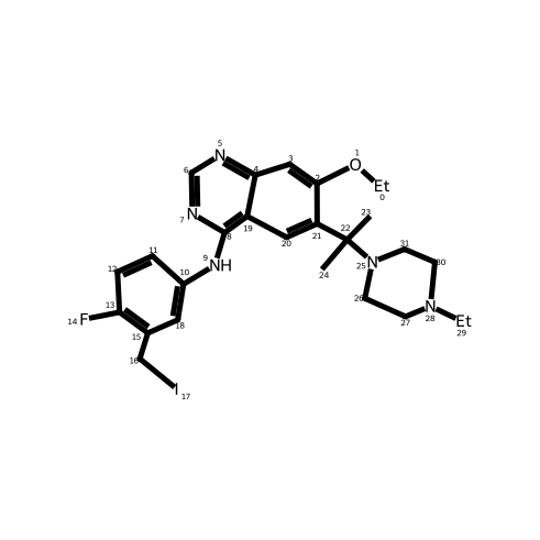 CCOc1cc2ncnc(Nc3ccc(F)c(CI)c3)c2cc1C(C)(C)N1CCN(CC)CC1